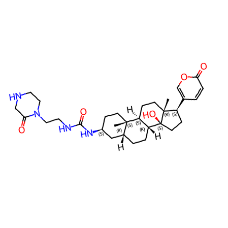 C[C@]12CC[C@H](NC(=O)NCCN3CCNCC3=O)C[C@H]1CC[C@@H]1[C@@H]2CC[C@]2(C)[C@@H](c3ccc(=O)oc3)CC[C@]12O